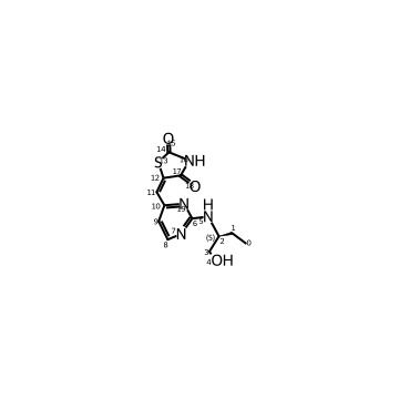 CC[C@@H](CO)Nc1nccc(C=C2SC(=O)NC2=O)n1